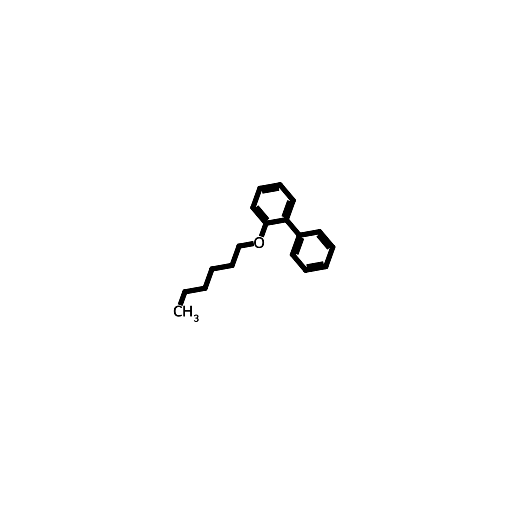 CCCCCCOc1ccccc1-c1ccccc1